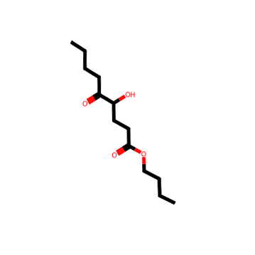 CCCCOC(=O)CCC(O)C(=O)CCCC